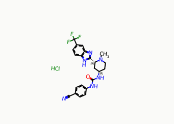 CN1CC[C@@H](NC(=O)Nc2ccc(C#N)cc2)C[C@@H]1c1nc2cc(C(F)(F)F)ccc2[nH]1.Cl